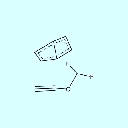 C#COC(F)F.c1cc2ccc1-2